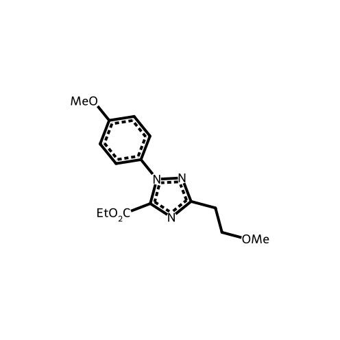 CCOC(=O)c1nc(CCOC)nn1-c1ccc(OC)cc1